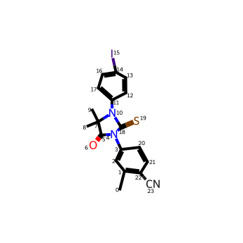 Cc1cc(N2C(=O)C(C)(C)N(c3ccc(I)cc3)C2=S)ccc1C#N